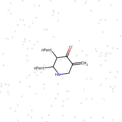 C=C1CNC(CCCCC)C(CCCCC)C1=O